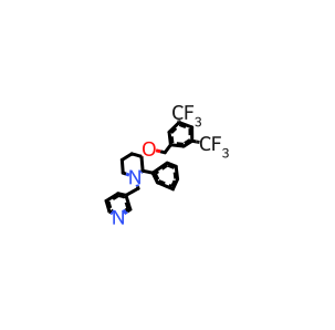 FC(F)(F)c1cc(COC2CCCN(Cc3cccnc3)C2c2ccccc2)cc(C(F)(F)F)c1